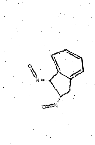 O=N[C@H]1Cc2ccccc2[C@H]1N=O